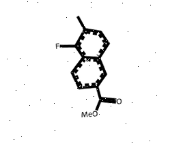 COC(=O)c1ccc2c(F)c(C)ccc2c1